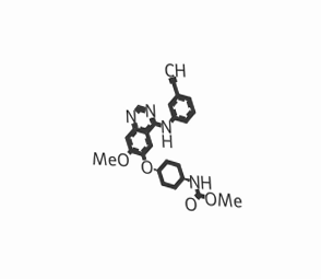 C#Cc1cccc(Nc2ncnc3cc(OC)c(O[C@H]4CC[C@H](NC(=O)OC)CC4)cc23)c1